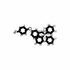 Fc1ccc(Oc2cccc(C[PH](c3ccccc3)(c3ccccc3)c3ccccc3)c2)cc1